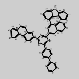 c1ccc(-c2ccc(-c3nc(-c4cc(-c5cccc6oc7ccccc7c56)c5ccccc5c4)nc(-c4ccc5c(ccc6ccccc65)c4)n3)cc2)cc1